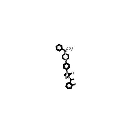 CC(c1ccccc1F)n1ncn(-c2ccc(N3CCN([C@@H](C(=O)O)c4ccccc4)CC3)cc2)c1=O